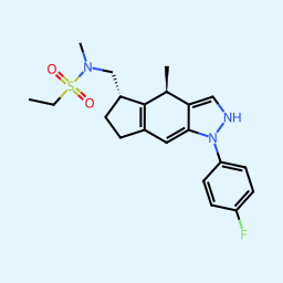 CCS(=O)(=O)N(C)C[C@H]1CCC2=C1[C@@H](C)C1=CNN(c3ccc(F)cc3)C1=C2